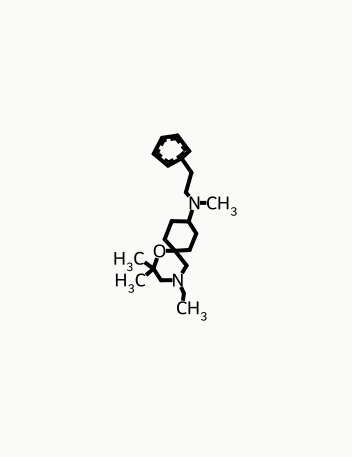 CCN1CC(C)(C)OC2(CCC(N(C)CCc3ccccc3)CC2)C1